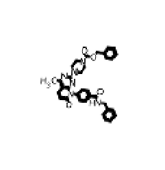 Cc1nc(N2CCN(C(=O)OCc3ccccc3)CC2)nc2c1ccc(=O)n2-c1ccc(C(=O)NCc2ccccc2)cc1